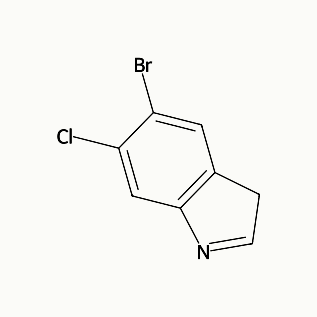 Clc1cc2c(cc1Br)CC=N2